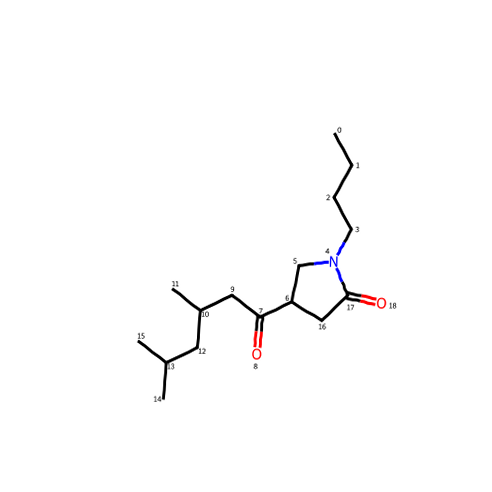 CCCCN1CC(C(=O)CC(C)CC(C)C)CC1=O